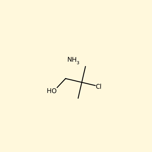 CC(C)(Cl)CO.N